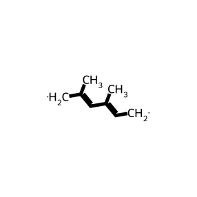 [CH2]/C=C(C)/C=C(/[CH2])C